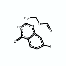 CCOC=O.O=c1[nH]cnc2cc(I)ccc12